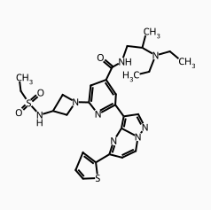 CCN(CC)C(C)CNC(=O)c1cc(-c2cnn3ccc(-c4cccs4)nc23)nc(N2CC(NS(=O)(=O)CC)C2)c1